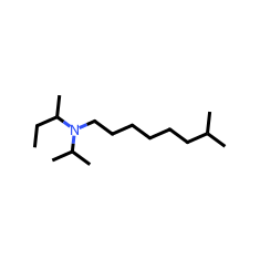 CCC(C)N(CCCCCCC(C)C)C(C)C